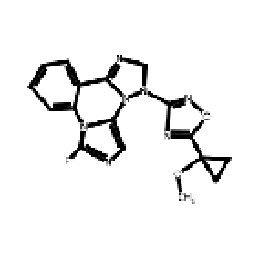 COC1(c2nc(N3CN=C4c5ccccc5-n5c(cnc5F)N43)no2)CC1